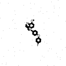 COC1=CC=C2N(c3ccc(Oc4ccc(F)cc4)cc3)CCC(C)C23C=CN=C13